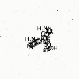 Nc1nccc(Sc2cnc(N3CCC4(CC3)Cn3nncc3[C@H]4N)n3ccnc23)c1Cl.O=C(O)C(F)(F)F